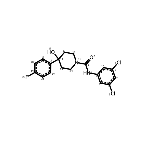 O=C(Nc1cc(Cl)cc(Cl)c1)N1CCC(O)(c2ccc(F)cc2)CC1